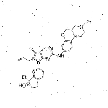 C=CCn1c(=O)c2cnc(Nc3ccc4c(c3)OCC3CN(C(C)C)CCN43)nc2n1-c1ccc2c(n1)[C@@](O)(CC)CC2